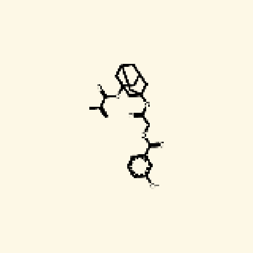 C=C(C)C(=O)OC12CC3CC(CC(OC(=O)COC(=O)c4cccc(O)c4)(C3)C1)C2